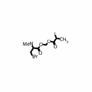 CNC(CC(C)C)C(=O)OCOC(=O)C(C)I